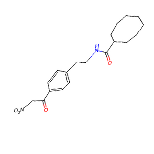 O=C(C[N+](=O)[O-])c1ccc(CCNC(=O)C2CCCCCCC2)cc1